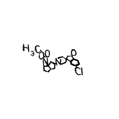 CCOC(=O)N1C2CCC3CC(N4CCC5(CC4)CC(=O)c4ccc(Cl)cc45)CC321